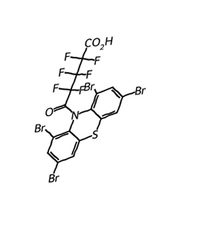 O=C(O)C(F)(F)C(F)(F)C(F)(F)C(=O)N1c2c(Br)cc(Br)cc2Sc2cc(Br)cc(Br)c21